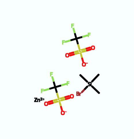 C[Si](C)(C)Br.O=S(=O)([O-])C(F)(F)F.O=S(=O)([O-])C(F)(F)F.[Zn+2]